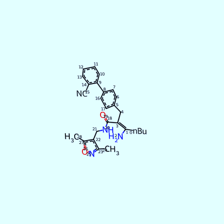 CCCC/C(N)=C(\Cc1ccc(-c2ccccc2C#N)cc1)C(=O)NCc1c(C)noc1C